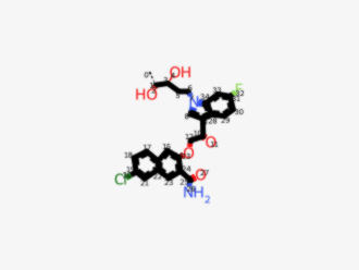 C[C@@H](O)[C@H](O)CCn1cc(C(=O)COc2cc3ccc(Cl)cc3cc2C(N)=O)c2ccc(F)cc21